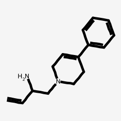 C=CC(N)CN1CC=C(c2ccccc2)CC1